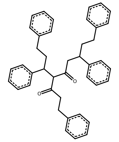 O=C(CCc1ccccc1)C(C(=O)CC(CCc1ccccc1)c1ccccc1)C(CCc1ccccc1)c1ccccc1